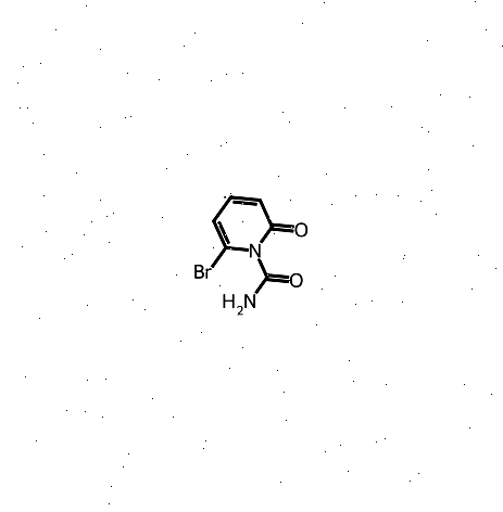 NC(=O)n1c(Br)c[c]cc1=O